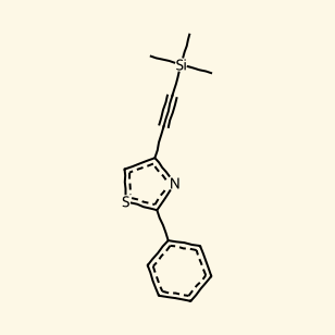 C[Si](C)(C)C#Cc1csc(-c2ccccc2)n1